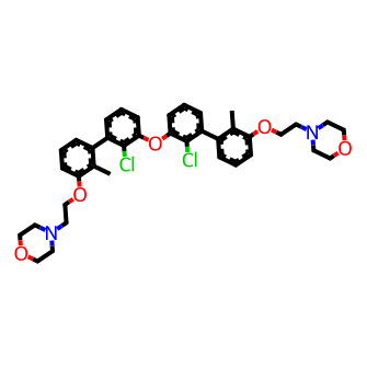 Cc1c(OCCN2CCOCC2)cccc1-c1cccc(Oc2cccc(-c3cccc(OCCN4CCOCC4)c3C)c2Cl)c1Cl